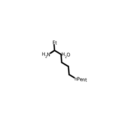 CCCCCCCCCC(N)CC.O